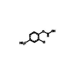 O=C(O)c1ccc(OBO)c(Cl)c1